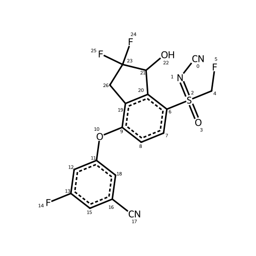 N#CN=S(=O)(CF)c1ccc(Oc2cc(F)cc(C#N)c2)c2c1C(O)C(F)(F)C2